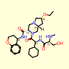 CCO[C@@H]1C[C@@H]2CN(C(=O)[C@@H](NC(=O)[C@H](CO)NC)C3CCCCC3)[C@H](C(=O)N[C@@H]3CCOc4ccccc43)CN2C1